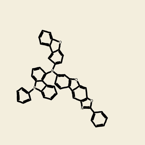 c1ccc(-c2nc3cc4c(cc3o2)oc2cc(N(c3ccc5oc6ccccc6c5c3)c3cccc5c3c3ccccc3n5-c3ccccc3)ccc24)cc1